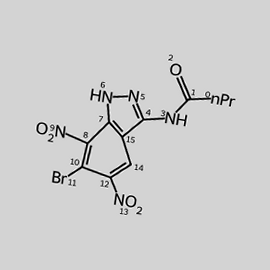 CCCC(=O)Nc1n[nH]c2c([N+](=O)[O-])c(Br)c([N+](=O)[O-])cc12